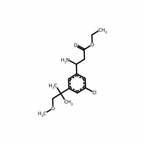 CCOC(=O)CC(N)c1cc(Cl)cc(C(C)(C)COC)c1